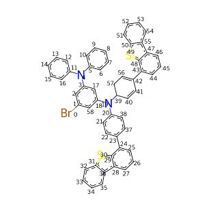 Brc1cc(N(c2ccccc2)c2ccccc2)cc(N(c2ccc(-c3cccc4c3sc3ccccc34)cc2)C2C=CC(c3cccc4c3sc3ccccc34)=CC2)c1